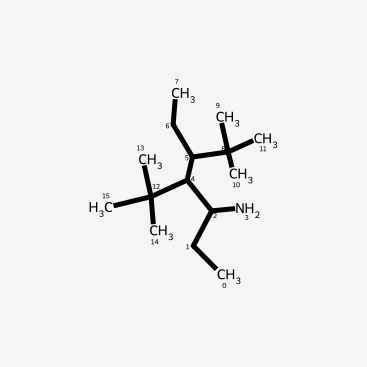 CCC(N)C(C(CC)C(C)(C)C)C(C)(C)C